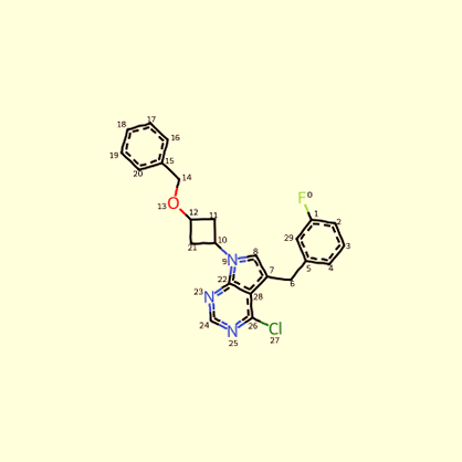 Fc1cccc(Cc2cn(C3CC(OCc4ccccc4)C3)c3ncnc(Cl)c23)c1